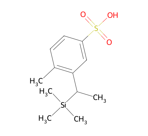 Cc1ccc(S(=O)(=O)O)cc1C(C)[Si](C)(C)C